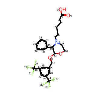 O=C(O)CCCCCN1CCOC(OCc2cc(C(F)(F)F)cc(C(F)(F)F)c2)C1c1ccccc1